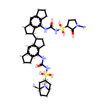 CC(C)N1CCC(S(=O)(=O)NC(=O)Nc2c3c(cc4c2C(C2CCc5c2cc2c(c5NC(=O)NS(=O)(=O)[C@H]5CC6CC[C@H](C5)N6C(C)C)CCC2)CC4)CCC3)C1=O